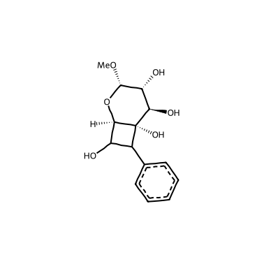 CO[C@H]1O[C@@H]2C(O)C(c3ccccc3)[C@]2(O)[C@H](O)[C@H]1O